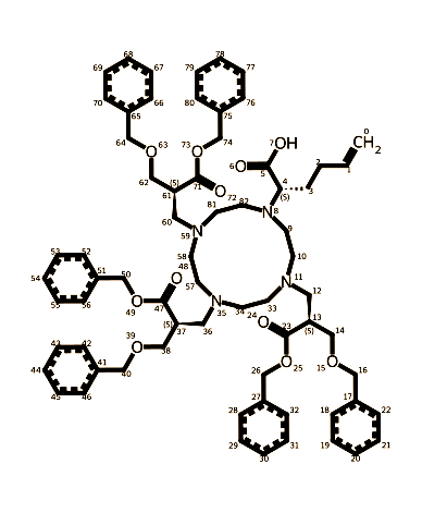 C=CCC[C@@H](C(=O)O)N1CCN(C[C@@H](COCc2ccccc2)C(=O)OCc2ccccc2)CCN(C[C@@H](COCc2ccccc2)C(=O)OCc2ccccc2)CCN(C[C@@H](COCc2ccccc2)C(=O)OCc2ccccc2)CC1